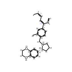 C=N/C(=C\C=C/C)c1ccc(CN2CCC[C@@H]2c2ccc3c(c2)OCCO3)c(C)c1